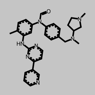 Cc1ccc(N(C=O)c2ccc(CN(C)C3CCN(C)C3)cc2)cc1Nc1nccc(-c2cccnc2)n1